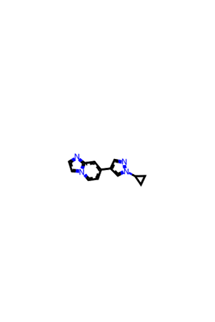 c1cn2ccc(-c3cnn(C4CC4)c3)cc2n1